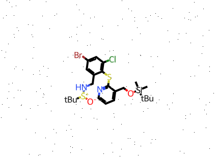 CC(C)(C)[S+]([O-])NCc1cc(Br)cc(Cl)c1Sc1ncccc1CO[Si](C)(C)C(C)(C)C